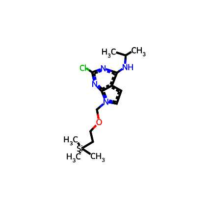 CC(C)Nc1nc(Cl)nc2c1ccn2COCC[Si](C)(C)C